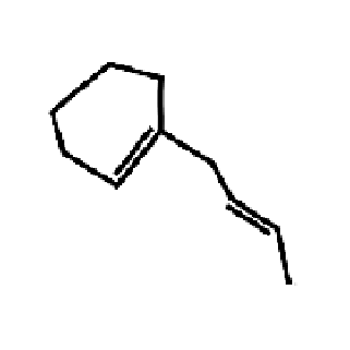 [CH2]C=CCC1=CCCCC1